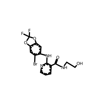 O=C(NCCO)c1cccnc1Nc1cc2c(cc1Br)OC(F)(F)O2